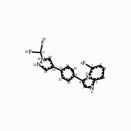 Fc1cccc2ncc(-c3ccc(-c4cnn(C(F)F)c4)cc3)n12